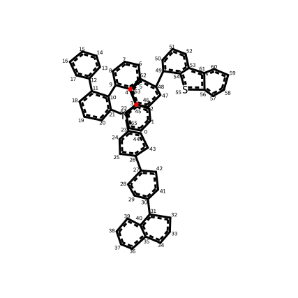 c1ccc(-c2ccccc2-c2c(-c3ccccc3)cccc2N(c2ccc(-c3ccc(-c4cccc5ccccc45)cc3)cc2)c2ccc(-c3cccc4c3sc3ccccc34)cc2)cc1